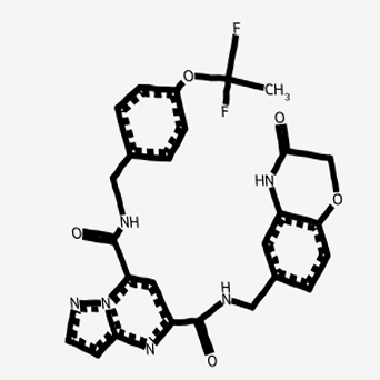 CC(F)(F)Oc1ccc(CNC(=O)c2cc(C(=O)NCc3ccc4c(c3)NC(=O)CO4)nc3ccnn23)cc1